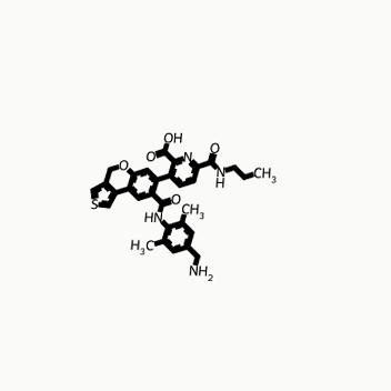 CCCNC(=O)c1ccc(-c2cc3c(cc2C(=O)Nc2c(C)cc(CN)cc2C)-c2cscc2CO3)c(C(=O)O)n1